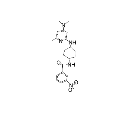 Cc1cc(N(C)C)cc(NC2CCC(NC(=O)c3cccc([N+](=O)[O-])c3)CC2)n1